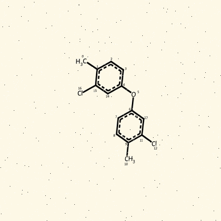 Cc1ccc(Oc2ccc(C)c(Cl)c2)cc1Cl